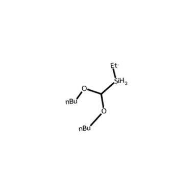 C[CH][SiH2]C(OCCCC)OCCCC